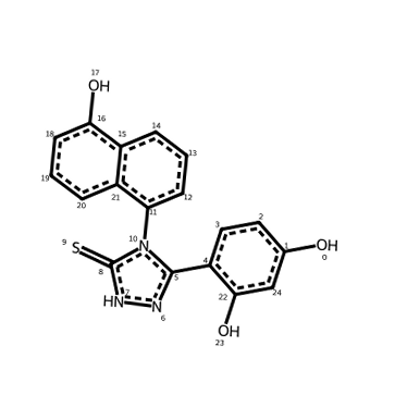 Oc1ccc(-c2n[nH]c(=S)n2-c2cccc3c(O)cccc23)c(O)c1